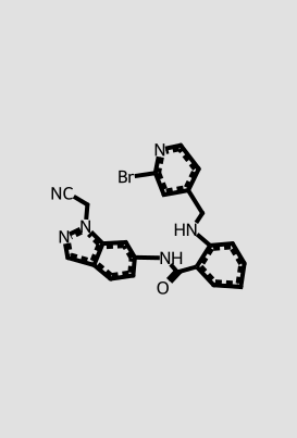 N#CCn1ncc2ccc(NC(=O)c3ccccc3NCc3ccnc(Br)c3)cc21